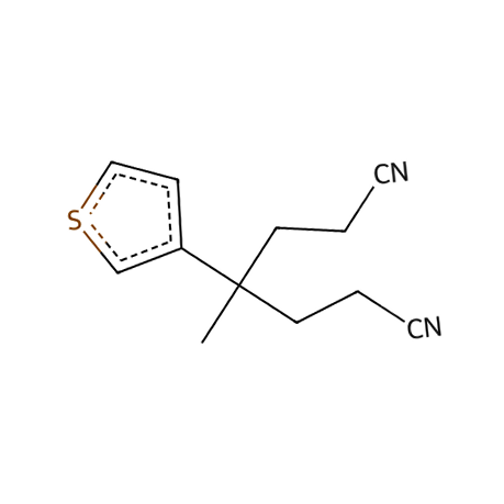 CC(CCC#N)(CCC#N)c1ccsc1